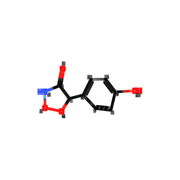 O=C1NOOC1c1ccc(O)cc1